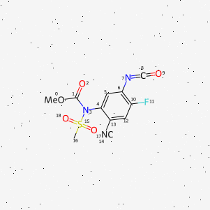 COC(=O)N(c1cc(N=C=O)c(F)cc1C#N)S(C)(=O)=O